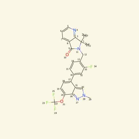 [2H]C1([2H])c2ncccc2C(=O)N1Cc1ccc(-c2ccc(OC(F)(F)F)c3nn(C)cc23)cc1F